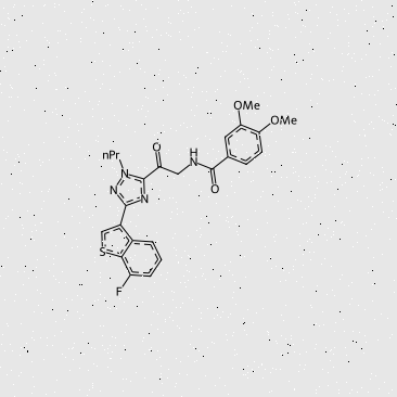 CCCn1nc(-c2csc3c(F)cccc23)nc1C(=O)CNC(=O)c1ccc(OC)c(OC)c1